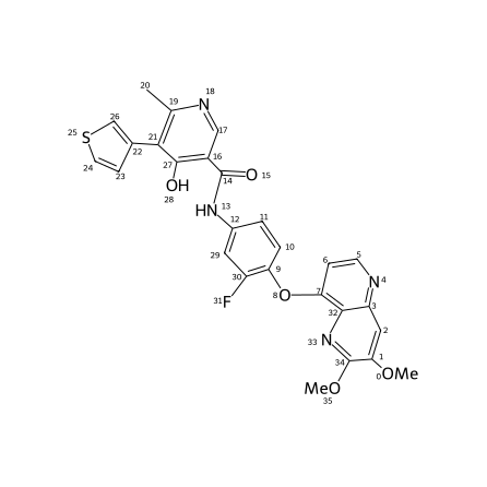 COc1cc2nccc(Oc3ccc(NC(=O)c4cnc(C)c(-c5ccsc5)c4O)cc3F)c2nc1OC